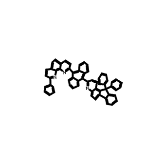 c1ccc(-c2ccc3ccc4ccc(-c5c6ccccc6c(-c6ccc7c8c(ccc7n6)-c6ccccc6C8(c6ccccc6)c6ccccc6)c6ccccc56)nc4c3n2)cc1